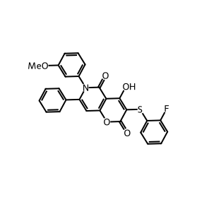 COc1cccc(-n2c(-c3ccccc3)cc3oc(=O)c(Sc4ccccc4F)c(O)c3c2=O)c1